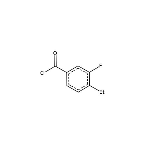 CCc1ccc(C(=O)Cl)cc1F